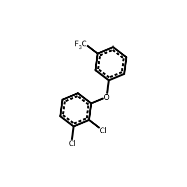 FC(F)(F)c1[c]ccc(Oc2cccc(Cl)c2Cl)c1